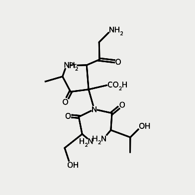 CC(N)C(=O)C(C(=O)O)(C(C(=O)CN)C(C)C)N(C(=O)C(N)CO)C(=O)C(N)C(C)O